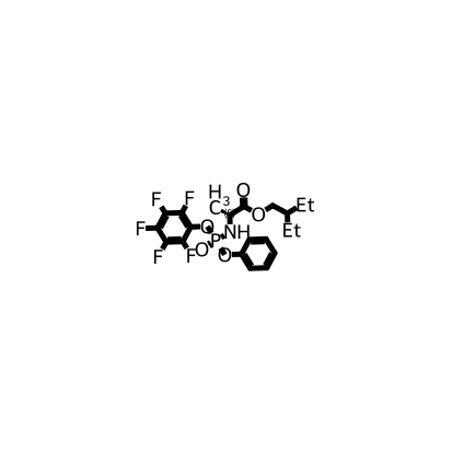 CCC(CC)COC(=O)[C@H](C)NP(=O)(Oc1ccccc1)Oc1c(F)c(F)c(F)c(F)c1F